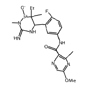 CCC1(C)C(c2cc(NC(=O)c3ncc(OC)nc3C)ccc2F)NC(=N)N(C)[S+]1[O-]